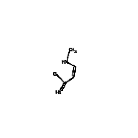 CN/C=C\C(=N)Cl